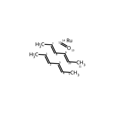 CC=CC=CC.CC=CC=CC.[C]=O.[Ru]